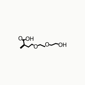 C=C(CCOCCOCCO)C(=O)O